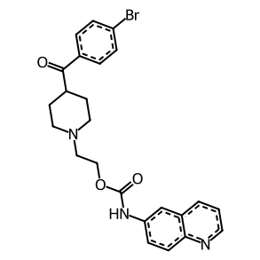 O=C(Nc1ccc2ncccc2c1)OCCN1CCC(C(=O)c2ccc(Br)cc2)CC1